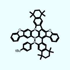 CC(C)(C)c1ccc(N2B3c4cc5c(cc4-n4c6cc7c(cc6c6c8oc9ccccc9c8c(c3c64)-c3cc4c(cc32)C(C)(C)CCC4(C)C)C(C)(C)CCC7(C)C)oc2ccccc25)cc1